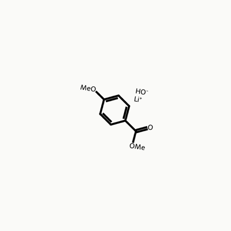 COC(=O)c1ccc(OC)cc1.[Li+].[OH-]